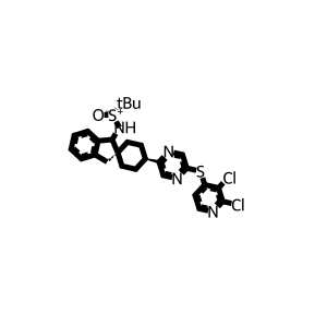 CC(C)(C)[S+]([O-])NC1c2ccccc2C[C@]12CC[C@H](c1cnc(Sc3ccnc(Cl)c3Cl)cn1)CC2